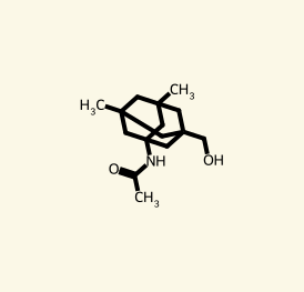 CC(=O)NC12CC3(C)CC(C)(CC(CO)(C3)C1)C2